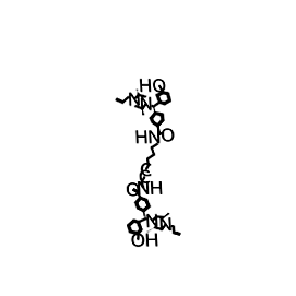 C=CCN1C[C@H](C)N([C@H](c2ccc(C(=O)NCCCCCCCCNC(=O)c3ccc([C@H](c4cccc(O)c4)N4C[C@@H](C)N(CC=C)C[C@@H]4C)cc3)cc2)c2cccc(O)c2)C[C@H]1C